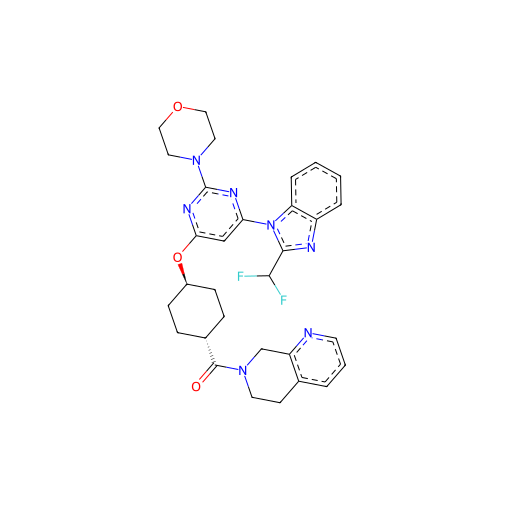 O=C([C@H]1CC[C@H](Oc2cc(-n3c(C(F)F)nc4ccccc43)nc(N3CCOCC3)n2)CC1)N1CCc2cccnc2C1